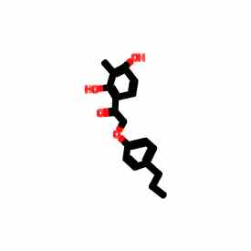 CCCc1ccc(OCC(=O)c2ccc(O)c(C)c2O)cc1